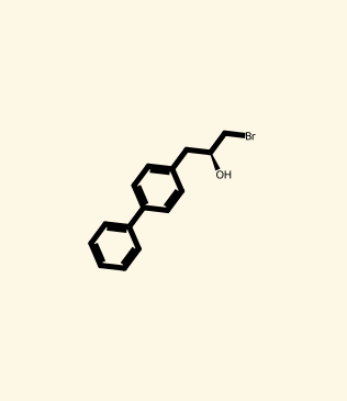 O[C@H](CBr)Cc1ccc(-c2ccccc2)cc1